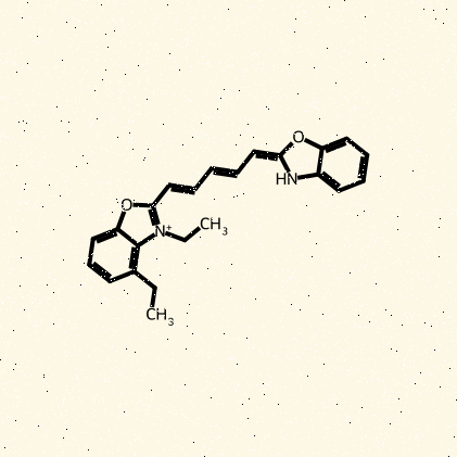 CCc1cccc2oc(C=CC=CC=C3Nc4ccccc4O3)[n+](CC)c12